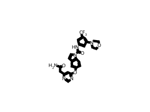 NC(=O)Cc1cc(Oc2ccc3c(ccn3C(=O)Nc3cc(N4CCOCC4)cc(C(F)(F)F)c3)c2)ncn1